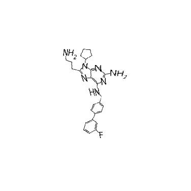 NCCCc1nc2c(NCc3ccc(-c4cccc(F)c4)cc3)nc(N)nc2n1C1CCCC1